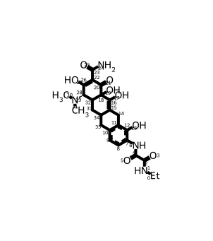 CCNC(=O)C(=O)Nc1ccc2c(c1O)CC1=C(O)C3(O)C(=O)C(C(N)=O)=C(O)[C@@H](N(C)C)C3CC1C2